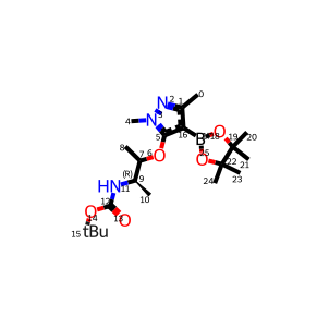 Cc1nn(C)c(OC(C)[C@@H](C)NC(=O)OC(C)(C)C)c1B1OC(C)(C)C(C)(C)O1